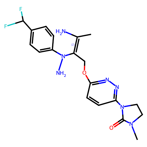 C/C(N)=C(\COc1ccc(N2CCN(C)C2=O)nn1)N(N)c1ccc(C(F)F)cc1